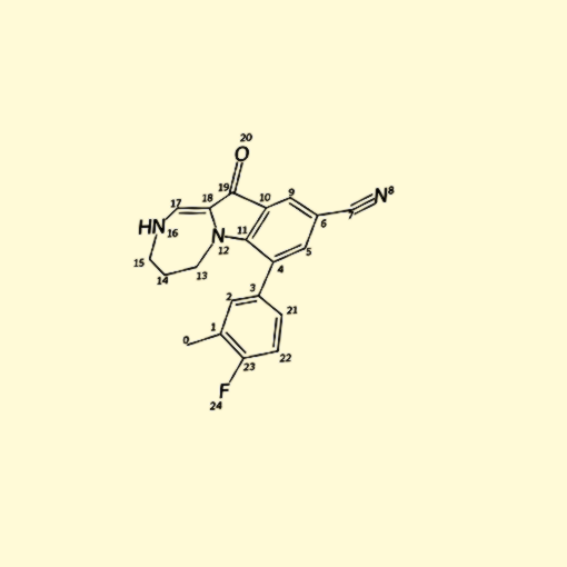 Cc1cc(-c2cc(C#N)cc3c2N2CCCNC=C2C3=O)ccc1F